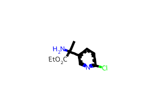 CCOC(=O)C(C)(N)c1ccc(Cl)nc1